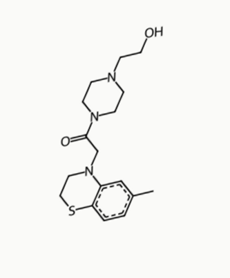 Cc1ccc2c(c1)N(CC(=O)N1CCN(CCO)CC1)CCS2